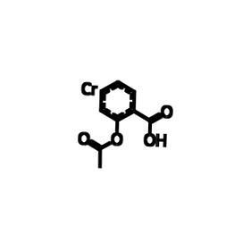 CC(=O)Oc1ccccc1C(=O)O.[Cr]